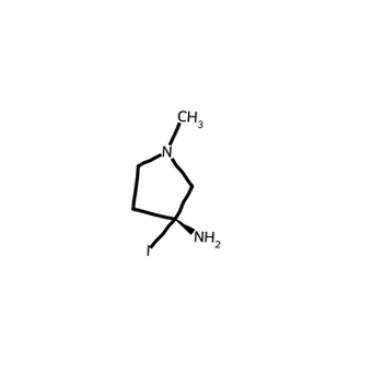 CN1CC[C@@](N)(I)C1